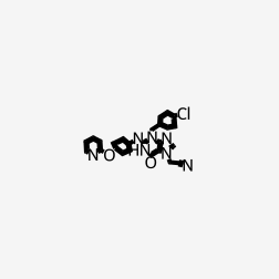 N#CCn1cnc2c1c(=O)[nH]/c(=N\c1ccc(Oc3ccccn3)cc1)n2Cc1ccc(Cl)cc1